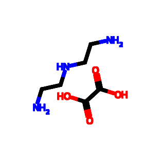 NCCNCCN.O=C(O)C(=O)O